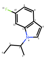 C[CH]C(C)n1ccc2ccc(F)cc21